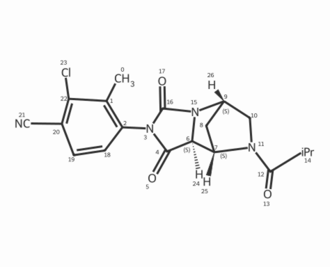 Cc1c(N2C(=O)[C@@H]3[C@@H]4C[C@@H](CN4C(=O)C(C)C)N3C2=O)ccc(C#N)c1Cl